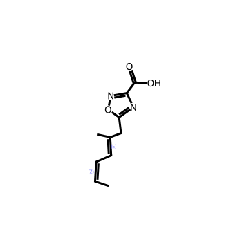 C/C=C\C=C(/C)Cc1nc(C(=O)O)no1